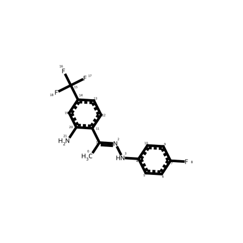 C/C(=N\Nc1ccc(F)cc1)c1ccc(C(F)(F)F)cc1N